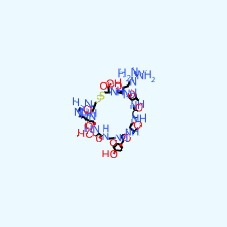 CC(C)C1NC(=O)CNC(=O)C(C(C)C)NC(=O)C(Cc2ccc(O)cc2)NC(=O)CNC(=O)C(CO)NC(=O)C(Cc2cnc[nH]2)NC(=O)C(N)CSSCC(C(=O)O)NC(=O)C(CCCN=C(N)N)NC1=O